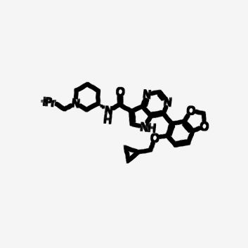 C[C](C)CN1CCC[C@H](NC(=O)c2c[nH]c3c(-c4c(OCC5CC5)ccc5c4OCO5)ncnc23)C1